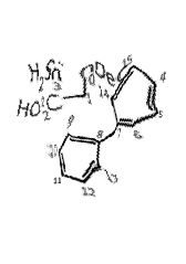 CCCCCCCCCCCC(=O)O.[SnH2].c1ccc(-c2ccccc2)cc1